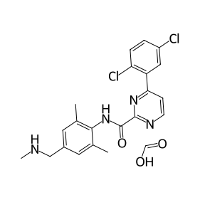 CNCc1cc(C)c(NC(=O)c2nccc(-c3cc(Cl)ccc3Cl)n2)c(C)c1.O=CO